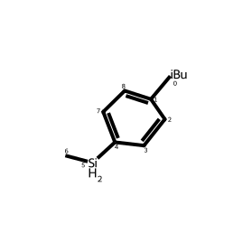 CCC(C)c1ccc([SiH2]C)cc1